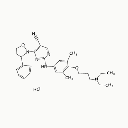 CCN(CC)CCCOc1c(C)cc(Nc2ncc(C#N)c(N3OCCC3c3ccccc3)n2)cc1C.Cl